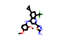 COc1ccc(Nc2cc(-c3nnc(N)s3)nc3c(C(F)(F)F)cc(C4CC4)cc23)c(OC)c1